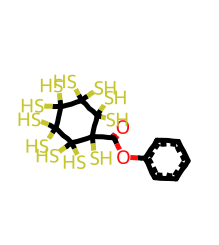 O=C(Oc1ccccc1)C1(S)C(S)(S)C(S)(S)C(S)(S)C(S)(S)C1(S)S